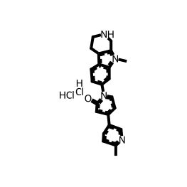 Cc1ccc(-c2ccn(-c3ccc4c5c(n(C)c4c3)CNCC5)c(=O)c2)cn1.Cl.Cl